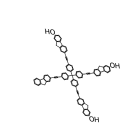 Oc1ccc2c(c1)Cc1cc(C#Cc3ccc(C(c4ccc(C#Cc5ccc6c(c5)Cc5ccccc5-6)cc4)(c4ccc(C#Cc5ccc6c(c5)Cc5cc(O)ccc5-6)cc4)c4ccc(C#Cc5ccc6c(c5)Cc5cc(O)ccc5-6)cc4)cc3)ccc1-2